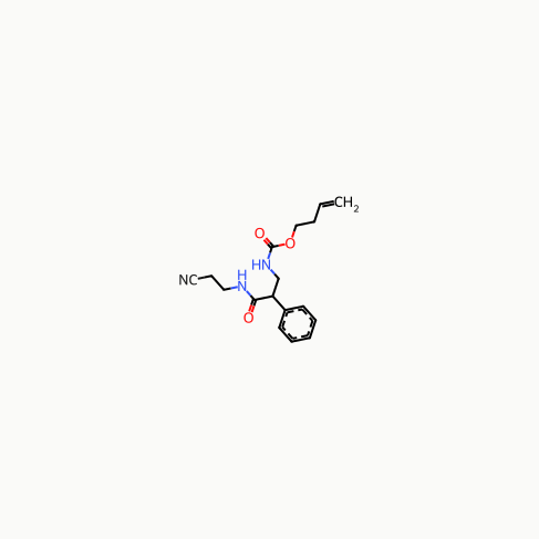 C=CCCOC(=O)NCC(C(=O)NCCC#N)c1ccccc1